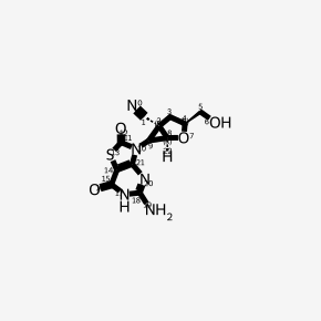 N#C[C@]12C[C@@H](CO)O[C@H]1C2n1c(=O)sc2c(=O)[nH]c(N)nc21